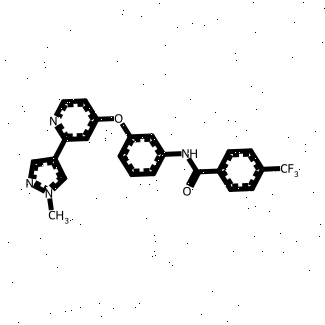 Cn1cc(-c2cc(Oc3cccc(NC(=O)c4ccc(C(F)(F)F)cc4)c3)ccn2)cn1